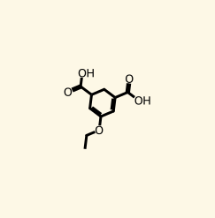 CCOC1=CC(C(=O)O)CC(C(=O)O)=C1